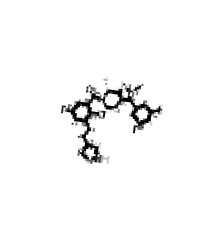 C[C@@H]1c2nn(C)c(-c3cc(F)cc(F)c3)c2CCN1C(=O)c1cc(F)cc(CCc2c[nH]nn2)c1Cl